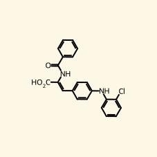 O=C(O)C(=Cc1ccc(Nc2ccccc2Cl)cc1)NC(=O)c1ccccc1